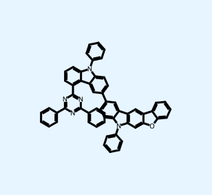 c1ccc(-c2nc(-c3ccccc3)nc(-c3cccc4c3c3cc(-c5ccc6c(c5)c5cc7c(cc5n6-c5ccccc5)oc5ccccc57)ccc3n4-c3ccccc3)n2)cc1